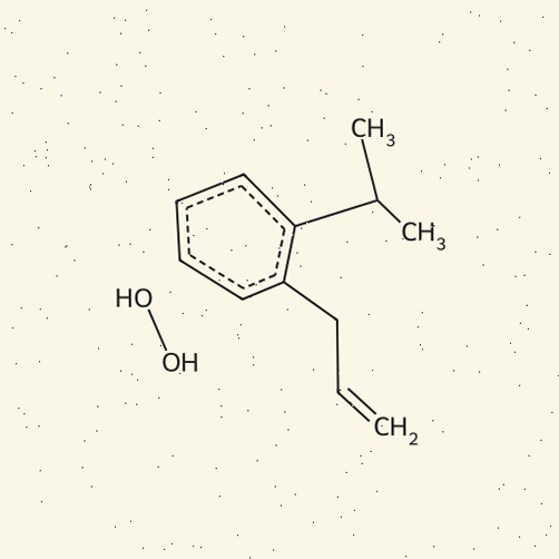 C=CCc1ccccc1C(C)C.OO